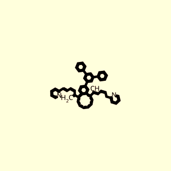 C=C(/C=C\C=C\c1ccccn1)c1ccccccc(/C(C)=C/C=C\Cc2ccccn2)c2cc(-c3cc(-c4ccccc4)cc(-c4ccccc4)c3)ccc12